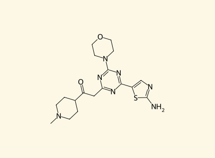 CN1CCC(C(=O)Cc2nc(-c3cnc(N)s3)nc(N3CCOCC3)n2)CC1